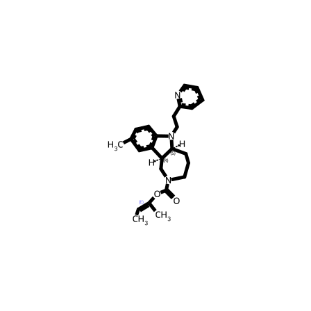 C/C=C(\C)OC(=O)N1CCC[C@H]2[C@@H](C1)c1cc(C)ccc1N2CCc1ccccn1